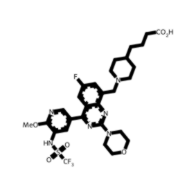 COc1ncc(-c2nc(N3CCOCC3)nc3c(CN4CCC(CCCC(=O)O)CC4)cc(F)cc23)cc1NS(=O)(=O)C(F)(F)F